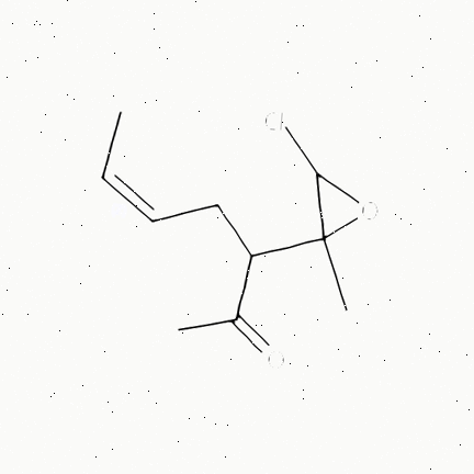 C/C=C\CC(C(C)=O)C1(C)OC1Cl